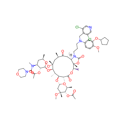 COc1ccc(N(CCCN2C(=O)O[C@]3(C)[C@@H](I)OC(=O)[C@H](C)[C@@H](O[C@H]4C[C@@](C)(OC)[C@@H](OC(C)=O)[C@H](C)O4)[C@H](C)[C@@H](O[C@@H]4O[C@H](C)C[C@H](N(C)C(=O)N5CCOCC5)[C@H]4OC(C)=O)[C@](C)(OC)C[C@@H](C)C(=O)[C@H](C)[C@@H]23)Cc2c(Cl)cncc2Cl)cc1OC1CCCC1